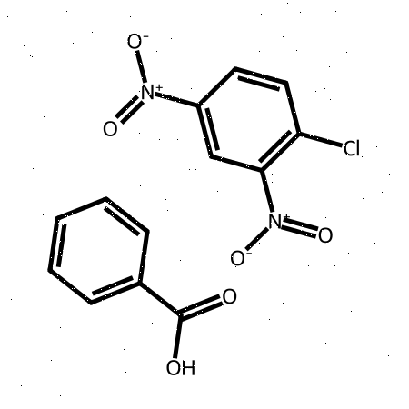 O=C(O)c1ccccc1.O=[N+]([O-])c1ccc(Cl)c([N+](=O)[O-])c1